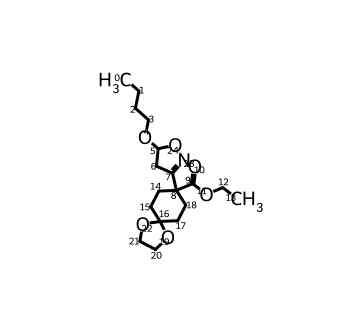 CCCCOC1CC(C2(C(=O)OCC)CCC3(CC2)OCCO3)=NO1